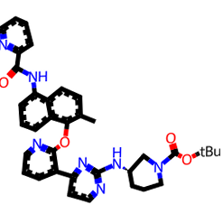 Cc1ccc2c(NC(=O)c3ccccn3)cccc2c1Oc1ncccc1-c1ccnc(N[C@H]2CCCN(C(=O)OC(C)(C)C)C2)n1